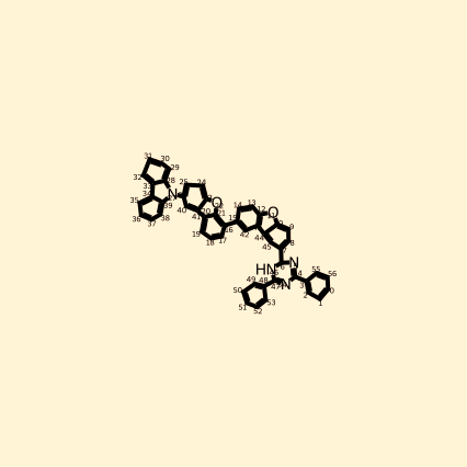 c1ccc(C2=NC(c3ccc4oc5ccc(-c6cccc7c6oc6ccc(-n8c9ccccc9c9ccccc98)cc67)cc5c4c3)NC(c3ccccc3)=N2)cc1